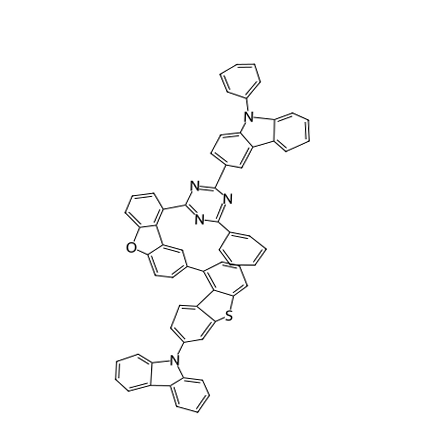 c1ccc(-c2nc(-c3ccc4c(c3)c3ccccc3n4-c3ccccc3)nc(-c3cccc4oc5ccc(-c6cccc7sc8cc(-n9c%10ccccc%10c%10ccccc%109)ccc8c67)cc5c34)n2)cc1